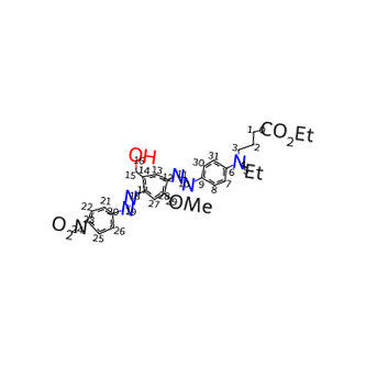 CCOC(=O)CCCN(CC)c1ccc(N=Nc2cc(CO)c(N=Nc3ccc([N+](=O)[O-])cc3)cc2OC)cc1